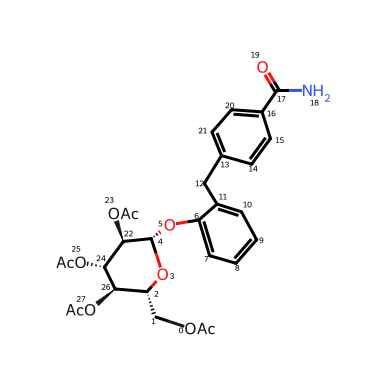 CC(=O)OC[C@H]1O[C@@H](Oc2ccccc2Cc2ccc(C(N)=O)cc2)[C@H](OC(C)=O)[C@@H](OC(C)=O)[C@@H]1OC(C)=O